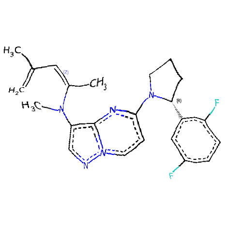 C=C(C)/C=C(/C)N(C)c1cnn2ccc(N3CCC[C@@H]3c3cc(F)ccc3F)nc12